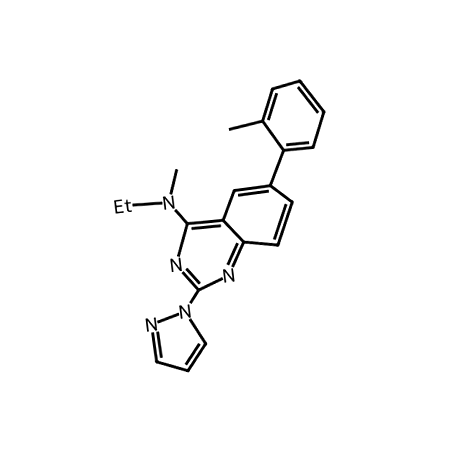 CCN(C)c1nc(-n2cccn2)nc2ccc(-c3ccccc3C)cc12